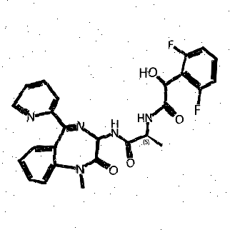 C[C@H](NC(=O)C(O)c1c(F)cccc1F)C(=O)NC1N=C(c2ccccn2)c2ccccc2N(C)C1=O